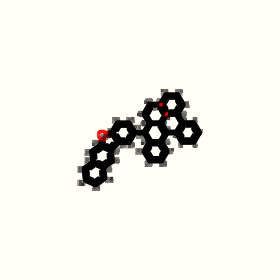 C1=CC2=C(c3ccccc3-c3ccccc3)c3ccccc3C(c3ccc4oc5cc6ccccc6cc5c4c3)C2C=C1